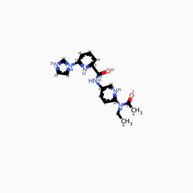 CCN(C(C)=O)c1ccc(NC(=O)c2cccc(-n3ccnc3)n2)cn1